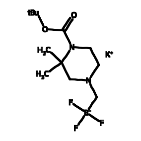 CC(C)(C)OC(=O)N1CCN(C[B-](F)(F)F)CC1(C)C.[K+]